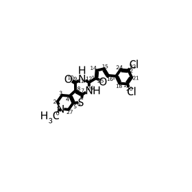 CN1CCc2c(sc3c2C(=O)NC(c2ccc(-c4cc(Cl)cc(Cl)c4)o2)N3)C1